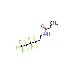 C=CC(=O)NCCC(F)(F)C(F)(F)C(F)(F)C(F)(F)F